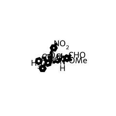 COc1cc(NC(=O)CCC[C@]2(NC(=O)OCc3ccc([N+](=O)[O-])cc3)C=C[C@@](C)(c3ccccc3)C(N(C(=O)O)C3CCCCC3)=C2)c(Cl)cc1C=O